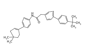 CC1(C)CC=C(c2ccc(NC(=O)Cc3ccc(-c4ccc(C(C)(C)C)cc4)cc3)cc2)CC1